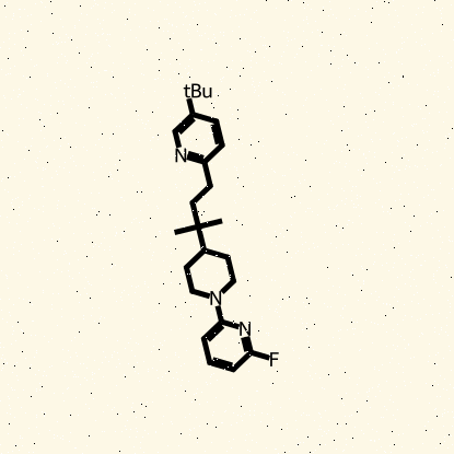 CC(C)(C)c1ccc(CCC(C)(C)C2CCN(c3cccc(F)n3)CC2)nc1